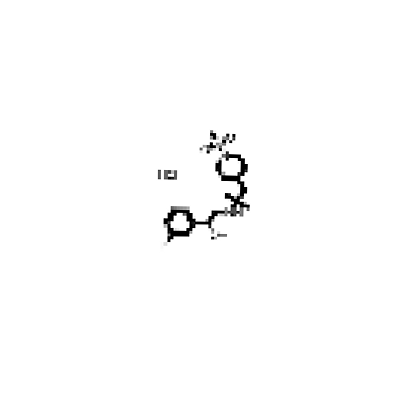 CC(C)(CC1CCN(S(C)(=O)=O)CC1)NC[C@H](O)c1cccc(F)c1.Cl